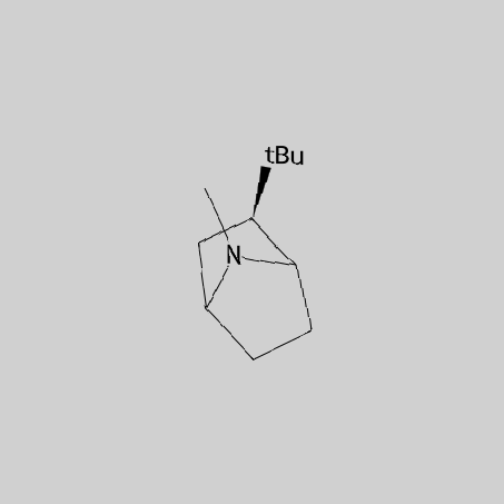 CN1C2CCC1[C@H](C(C)(C)C)C2